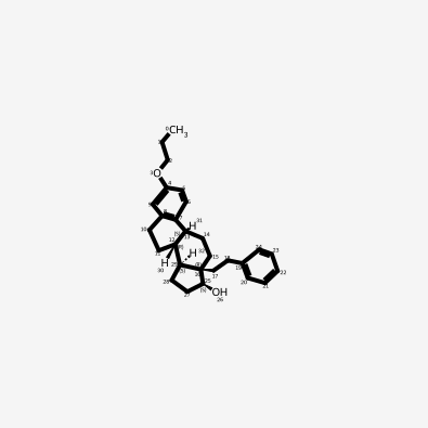 CCCOc1ccc2c(c1)CC[C@@H]1[C@@H]2CC[C@]2(CCc3ccccc3)[C@@H](O)CC[C@@H]12